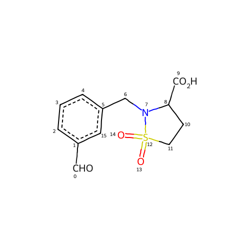 O=Cc1cccc(CN2C(C(=O)O)CCS2(=O)=O)c1